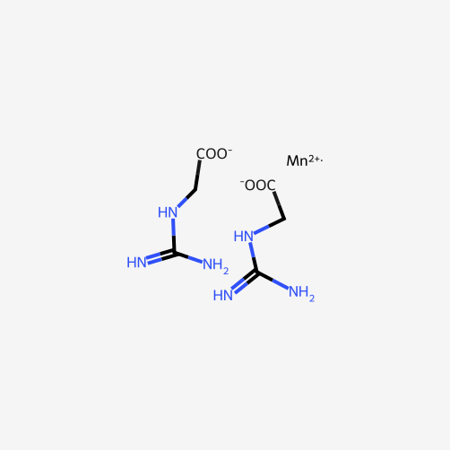 N=C(N)NCC(=O)[O-].N=C(N)NCC(=O)[O-].[Mn+2]